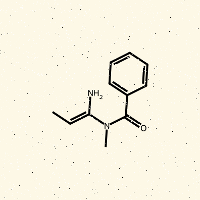 CC=C(N)N(C)C(=O)c1ccccc1